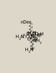 CCCCCCCCCCCCCCCC(=O)C(CCCCN)(C(=O)O)N(C(=O)C(N)CCCCN)C(=O)C(N)C(C)C